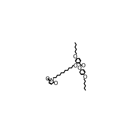 CCCCCCOC1=CCC(OC(=O)c2ccc(OCCCCCC)cc2OCCCCCCCCCCCN2C(=O)C=CC2=O)C=C1